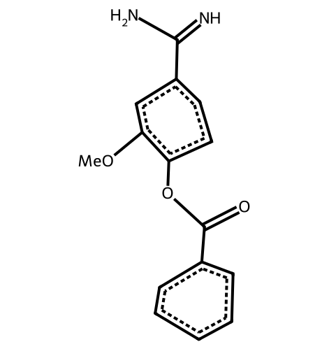 COc1cc(C(=N)N)ccc1OC(=O)c1ccccc1